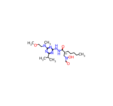 CCCCC[C@@H](CN(O)C=O)C(=O)NNc1nc(C(C)C)nc(N(C)CCOC)n1